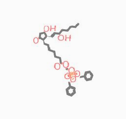 CCCCC[C@H](O)/C=C/[C@H]1[C@H](O)CC(=O)[C@@H]1CCCCCCC(=O)OCOP(=O)(OCc1ccccc1)OCc1ccccc1